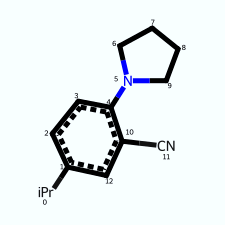 CC(C)c1ccc(N2CCCC2)c(C#N)c1